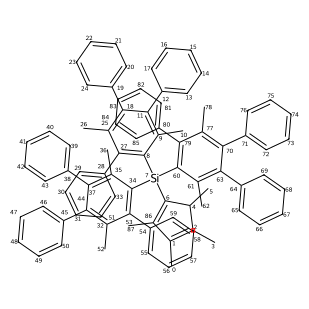 CC1=C(C)C(C)C([Si](c2c(C)c(-c3ccccc3)c(-c3ccccc3)c(C)c2-c2ccccc2)(c2c(C)c(-c3ccccc3)c(-c3ccccc3)c(C)c2-c2ccccc2)c2c(C)c(-c3ccccc3)c(-c3ccccc3)c(C)c2-c2ccccc2)=C1C